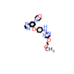 COCCOc1cnc(N[C@H]2CC[C@@H](Oc3cc(N4CCOCC4)cc4nccnc34)CC2)nc1